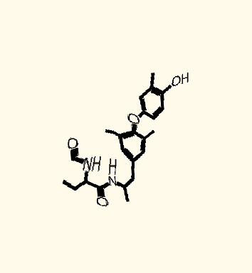 CCC(NC=O)C(=O)NC(C)Cc1cc(C)c(Oc2ccc(O)c(C)c2)c(C)c1